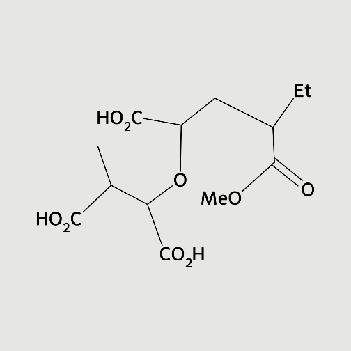 CCC(CC(OC(C(=O)O)C(C)C(=O)O)C(=O)O)C(=O)OC